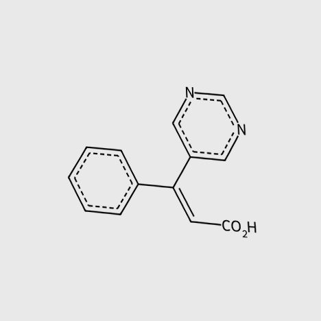 O=C(O)C=C(c1ccccc1)c1cncnc1